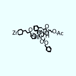 CC(=O)COCCNC(=O)[C@H](Cc1ccccc1)NC(=O)[C@H](CC(=O)OCc1ccccc1)NC(=O)[C@@H]1CCCN(C(=O)CCC2C[CH2][Zn][CH2]C2)C1